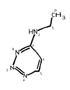 CCNc1ccnnn1